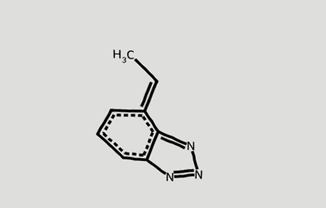 CC=c1cccc2c1=NN=N2